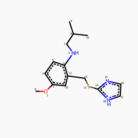 COc1ccc(NCC(C)C)c(CSc2ncc[nH]2)c1